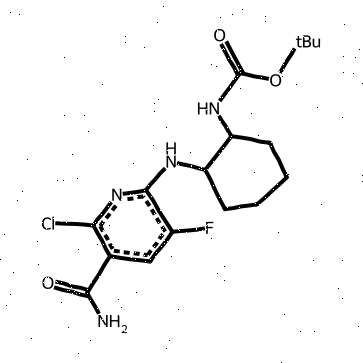 CC(C)(C)OC(=O)NC1CCCCC1Nc1nc(Cl)c(C(N)=O)cc1F